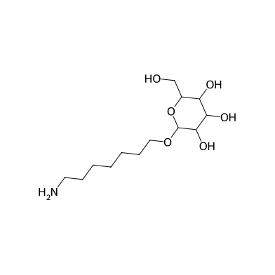 NCCCCCCCOC1OC(CO)C(O)C(O)C1O